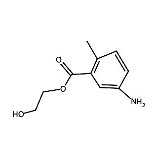 Cc1ccc(N)cc1C(=O)OCCO